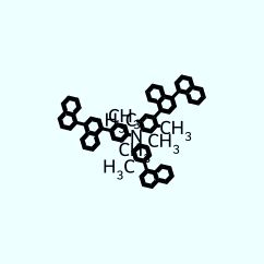 Cc1cc(N(c2cc(C)c(-c3ccc(-c4cccc5ccccc45)c4ccccc34)cc2C)c2cc(C)c(-c3ccc(-c4cccc5ccccc45)c4ccccc34)cc2C)c(C)cc1-c1cccc2ccccc12